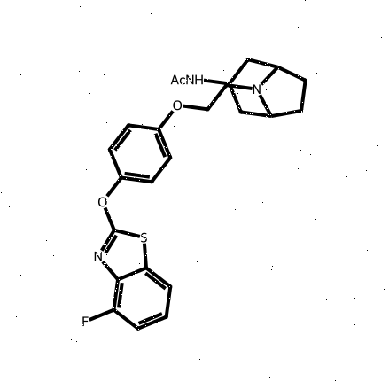 CC(=O)NC1CC2CCC(C1)N2CCOc1ccc(Oc2nc3c(F)cccc3s2)cc1